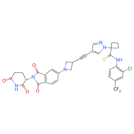 O=C1CCC(N2C(=O)c3ccc(N4CC(C#Cc5cnn(C6(C(=S)Nc7ccc(C(F)(F)F)cc7Cl)CCC6)c5)C4)cc3C2=O)C(=O)N1